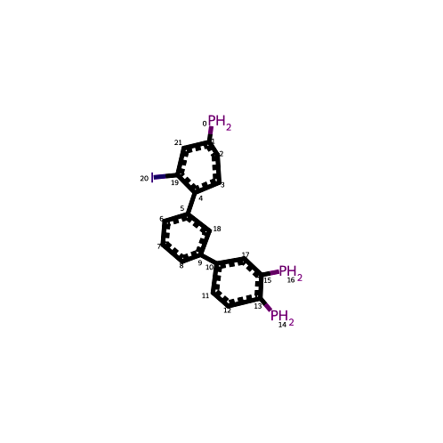 Pc1ccc(-c2cccc(-c3ccc(P)c(P)c3)c2)c(I)c1